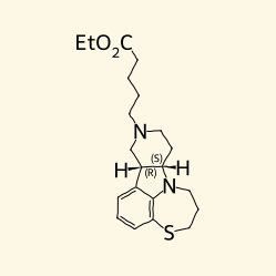 CCOC(=O)CCCCN1CC[C@H]2[C@@H](C1)c1cccc3c1N2CCCS3